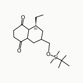 CC[C@H]1CC(CO[Si](C)(C)C(C)(C)C)CC2C(=O)CCC(=O)C21